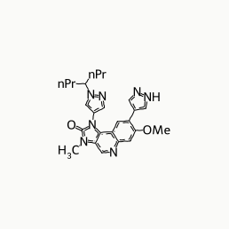 CCCC(CCC)n1cc(-n2c(=O)n(C)c3cnc4cc(OC)c(-c5cn[nH]c5)cc4c32)cn1